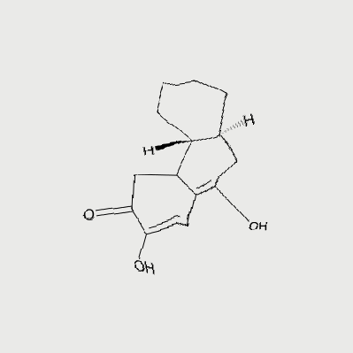 O=C1CC2C(=C(O)C[C@@H]3CCCC[C@@H]23)C=C1O